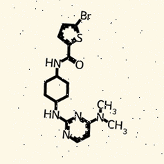 CN(C)c1ccnc(NC2CCC(NC(=O)c3ccc(Br)s3)CC2)n1